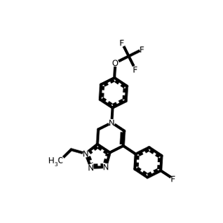 CCn1nnc2c1CN(c1ccc(OC(F)(F)F)cc1)C=C2c1ccc(F)cc1